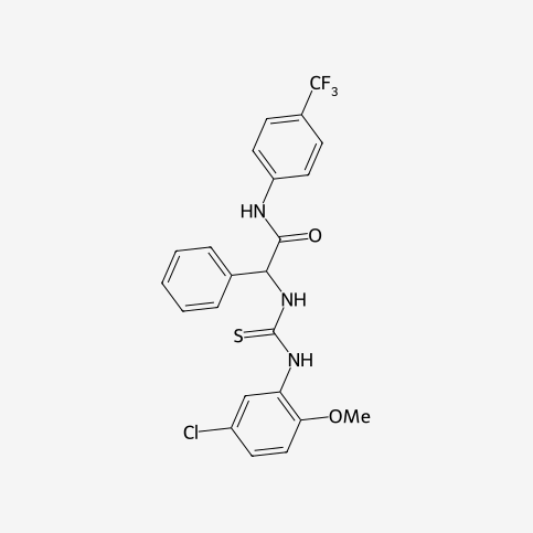 COc1ccc(Cl)cc1NC(=S)NC(C(=O)Nc1ccc(C(F)(F)F)cc1)c1ccccc1